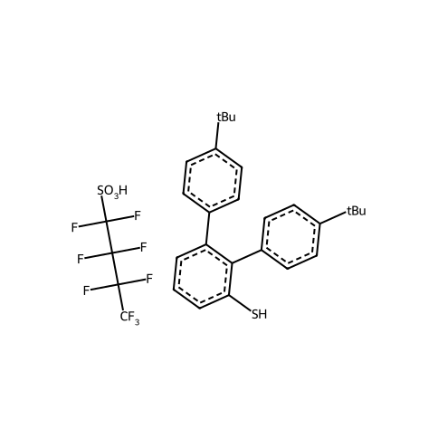 CC(C)(C)c1ccc(-c2cccc(S)c2-c2ccc(C(C)(C)C)cc2)cc1.O=S(=O)(O)C(F)(F)C(F)(F)C(F)(F)C(F)(F)F